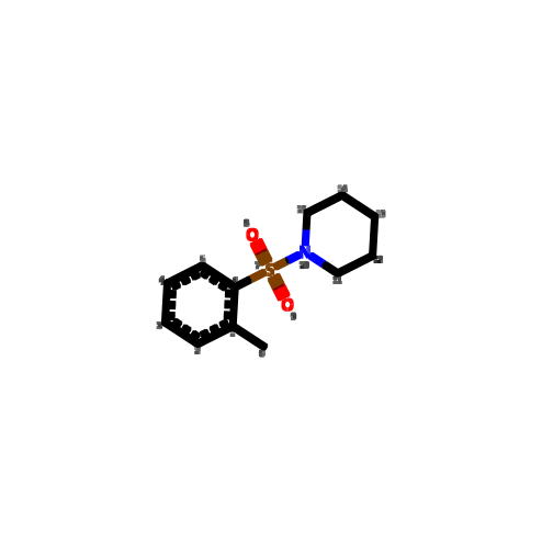 Cc1cc[c]cc1S(=O)(=O)N1CCCCC1